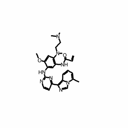 C=CC(=O)Nc1cc(Nc2nccc(-c3ncn4c(C)cccc34)n2)c(OC)cc1N(C)CCN(C)C